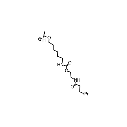 CC(C)CCC(=O)NCCOC(=O)NCCCCCCO[PH](C)=O